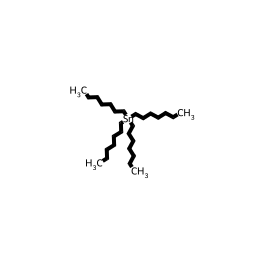 CCCCCC[CH2][Sn]([CH2]CCCCCC)([CH2]CCCCCC)[CH2]CCCCCC